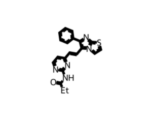 CCC(=O)Nc1nccc(C=Cc2c(-c3ccccc3)nc3sccn23)n1